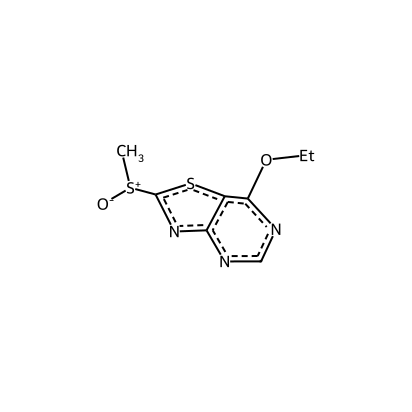 CCOc1ncnc2nc([S+](C)[O-])sc12